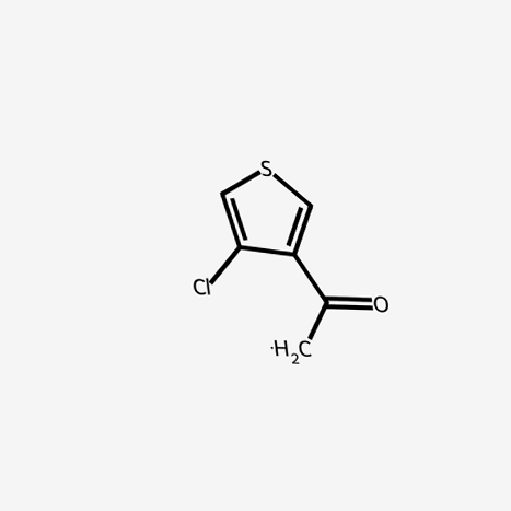 [CH2]C(=O)c1cscc1Cl